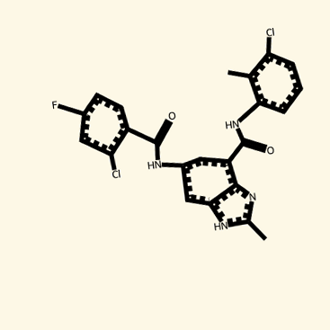 Cc1nc2c(C(=O)Nc3cccc(Cl)c3C)cc(NC(=O)c3ccc(F)cc3Cl)cc2[nH]1